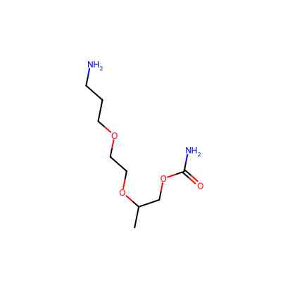 CC(COC(N)=O)OCCOCCCN